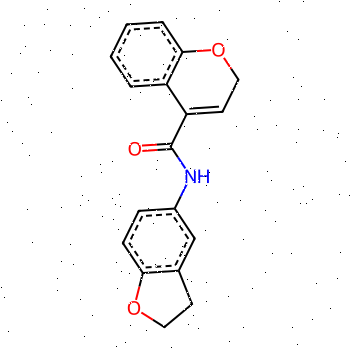 O=C(Nc1ccc2c(c1)CCO2)C1=CCOc2ccccc21